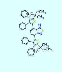 CCC(C)(C)c1sc(C2=CC=C(c3sc(C(C)(C)CC)c(-c4ccccc4)c3-c3ccccc3)C3NSN=C23)c(-c2ccccc2)c1-c1ccccc1